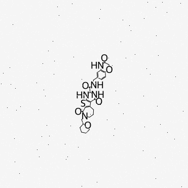 O=C1COc2ccc(CNC(=O)C3NC(=O)c4c(sc5c4CCCN(CC4CCCCO4)C5=O)N3)cc2N1